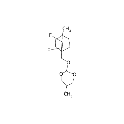 CC1COC(OCC23CCC(C)(CC2)C(F)=C3F)OC1